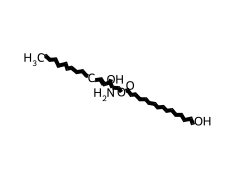 CCCCCCCCCCCCCC=CC(O)C(N)COC(=O)CCCCCCCCCCCCCCCO